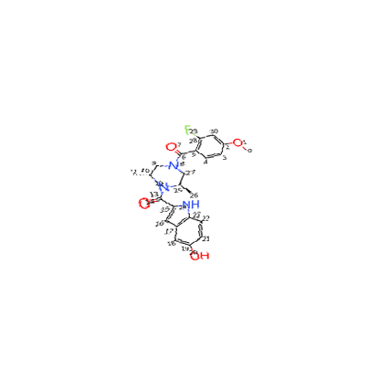 COc1ccc(C(=O)N2C[C@@H](C)N(C(=O)c3cc4cc(O)ccc4[nH]3)[C@H](C)C2)c(F)c1